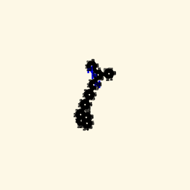 c1ccc(-c2cc(-c3ccccn3)nc(-c3ccc(-c4ccc(-c5ccc(-c6ccc7ccc8cccc9ccc6c7c89)cc5)cc4)cn3)c2)cc1